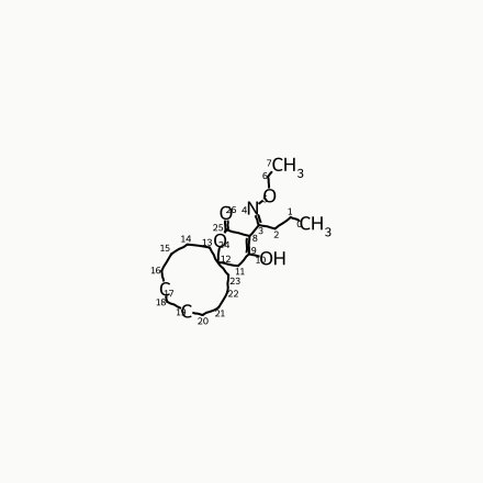 CCCC(=NOCC)C1=C(O)CC2(CCCCCCCCCCC2)OC1=O